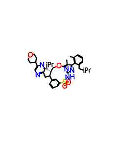 Cc1cccc(CC(C)C)c1-c1nc2nc(c1C)OC[C@@H](CC(C)C)C(Cc1cnc(C3CCOCC3)cn1)c1cccc(c1)S(=O)(=O)N2